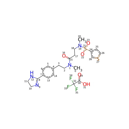 CN(CCc1ccc(C2=NCCN2)cc1)C(=O)CCN(C)S(=O)(=O)c1ccsc1.O=C(O)C(F)(F)F